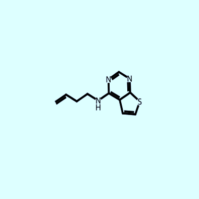 C=CCCNc1ncnc2sccc12